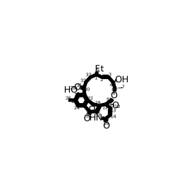 CCC1/C=C/[C@H](O)[C@H](C)OC(=O)[C@@]2(C)C=CC(=O)NC3=C2C(=O)c2c(cc(C)c(O)c2C(=O)CC1)C3=O